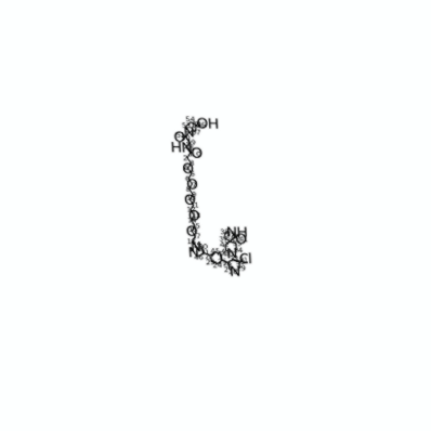 O=C(CCOCCOCCOCCOCCOCCn1cc(-c2ccc(-c3cncc(Cl)c3N3CCC4(CCNC4=O)CC3)cc2)cn1)NCC(=O)N1CC[C@@H](O)C1